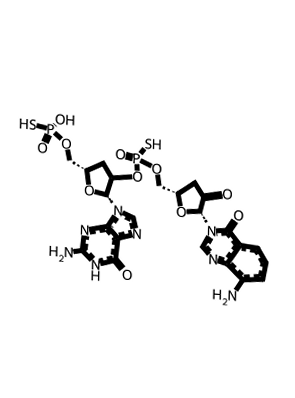 Nc1nc2c(ncn2[C@@H]2O[C@H](COP(=O)(O)S)CC2OP(=O)(S)OC[C@@H]2CC(=O)[C@H](n3cnc4c(N)cccc4c3=O)O2)c(=O)[nH]1